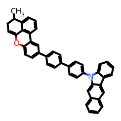 CC1CC=C2Oc3ccc(-c4ccc(-c5ccc(-n6c7ccccc7c7cc8ccccc8cc76)cc5)cc4)cc3-c3cccc1c32